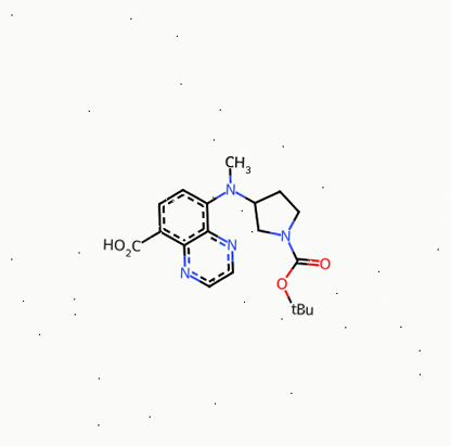 CN(c1ccc(C(=O)O)c2nccnc12)C1CCN(C(=O)OC(C)(C)C)C1